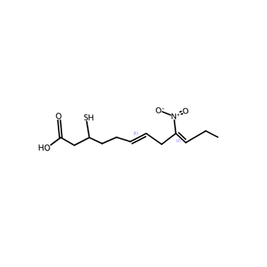 CC/C=C(/C/C=C/CCC(S)CC(=O)O)[N+](=O)[O-]